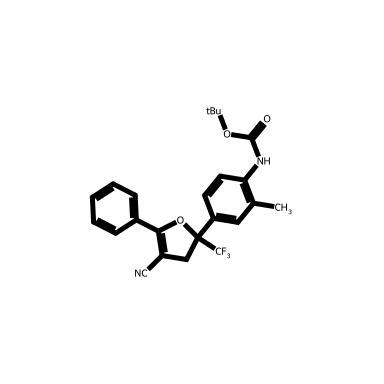 Cc1cc(C2(C(F)(F)F)CC(C#N)=C(c3ccccc3)O2)ccc1NC(=O)OC(C)(C)C